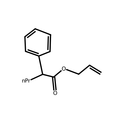 C=CCOC(=O)C(CCC)c1ccccc1